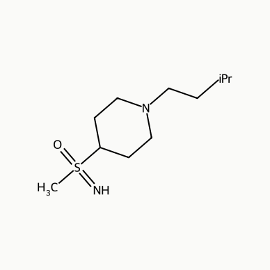 CC(C)CCN1CCC(S(C)(=N)=O)CC1